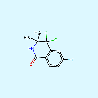 CC1(C)NC(=O)c2ccc(F)cc2C1(Cl)Cl